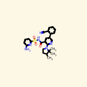 CC1CCN(c2ncc(-c3ccccc3C#N)cc2C(=O)NS(=O)(=O)c2cccc(N)n2)C1(C)C